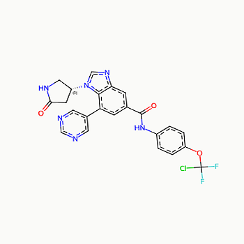 O=C1C[C@@H](n2cnc3cc(C(=O)Nc4ccc(OC(F)(F)Cl)cc4)cc(-c4cncnc4)c32)CN1